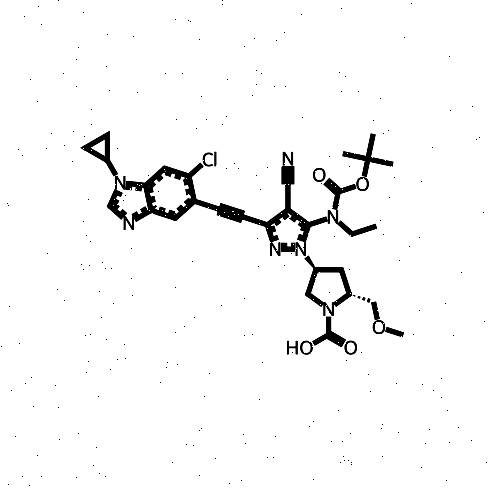 CCN(C(=O)OC(C)(C)C)c1c(C#N)c(C#Cc2cc3ncn(C4CC4)c3cc2Cl)nn1[C@H]1C[C@H](COC)N(C(=O)O)C1